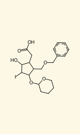 O=C(O)CC1C(O)C(I)C(OC2CCCCO2)C1COCc1ccccc1